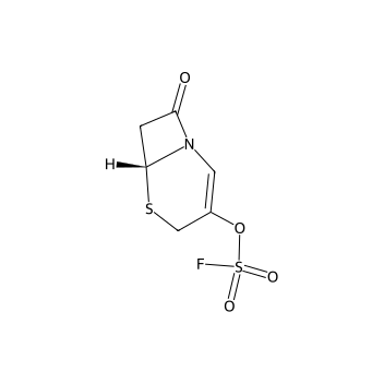 O=C1C[C@H]2SCC(OS(=O)(=O)F)=CN12